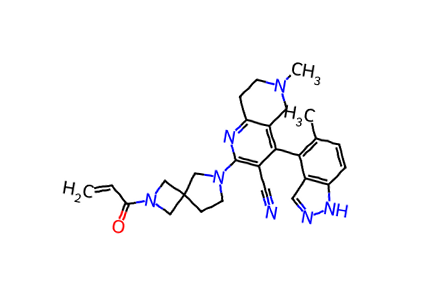 C=CC(=O)N1CC2(CCN(c3nc4c(c(-c5c(C)ccc6[nH]ncc56)c3C#N)CN(C)CC4)C2)C1